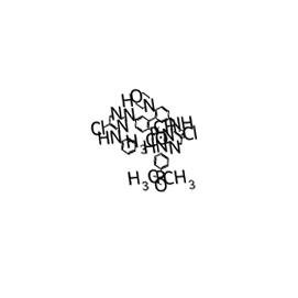 CP(C)(=O)c1ccc(Nc2ncc(Cl)c(Nc3ccc(N4CCOCC4)c(-c4cc(Nc5ncc(Cl)c(Nc6ccccc6)n5)ccc4P(C)(C)=O)c3)n2)cc1